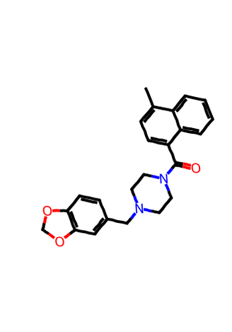 Cc1ccc(C(=O)N2CCN(Cc3ccc4c(c3)OCO4)CC2)c2ccccc12